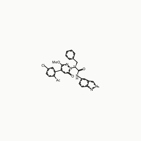 COc1nn([C@@H](Cc2ccccc2)C(=O)Nc2ccc3nn(C)cc3c2)c(=O)cc1-c1cc(Cl)ccc1C(C)=O